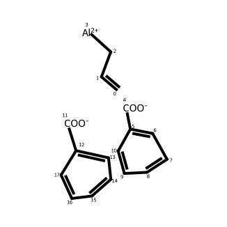 C=C[CH2][Al+2].O=C([O-])c1ccccc1.O=C([O-])c1ccccc1